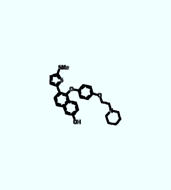 CSc1ccc(-c2ccc3cc(O)ccc3c2Oc2ccc(OCCN3CCCCC3)cc2)s1